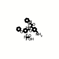 NCc1ccc(C(NC(=O)c2ccc(Oc3ccccc3)cc2)C(=O)c2nc3ccccc3s2)cc1.O=C(O)C(F)(F)F